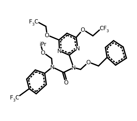 CC(C)OCN(C(=O)N(COCc1ccccc1)c1nc(OCC(F)(F)F)cc(OCC(F)(F)F)n1)c1ccc(C(F)(F)F)cc1